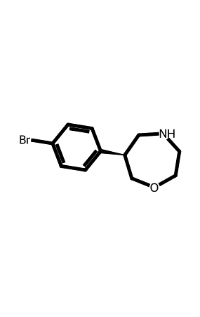 Brc1ccc([C@H]2CNCCOC2)cc1